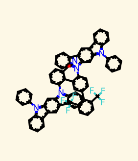 N#Cc1cccc(-n2c3ccccc3c3cc4c5ccccc5n(-c5ccccc5)c4cc32)c1-c1cc(-c2c(C(F)(F)F)cccc2C(F)(F)F)ccc1-n1c2ccccc2c2cc3c4ccccc4n(-c4ccccc4)c3cc21